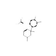 Cc1cc(C2(C)C=CCC(C)C2)ccc1F.O=C(O)O